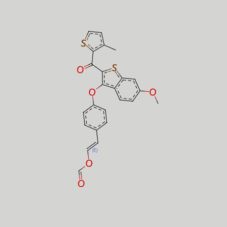 COc1ccc2c(Oc3ccc(/C=C/OC=O)cc3)c(C(=O)c3sccc3C)sc2c1